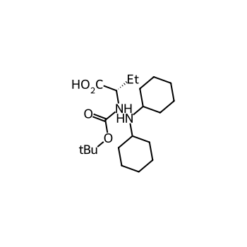 C1CCC(NC2CCCCC2)CC1.CC[C@H](NC(=O)OC(C)(C)C)C(=O)O